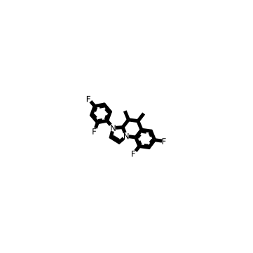 CC1c2cc(F)cc(F)c2N2C=CN(c3ccc(F)cc3F)C2C1C